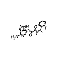 C[C@H](c1ccccc1F)N(C)C(=O)C(=O)Nc1cnc(N)c2cn[nH]c12